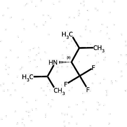 CC(C)N[C@H](C(C)C)C(F)(F)F